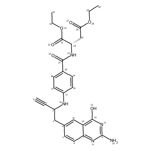 C#CC(Cc1ccc2nc(N)nc(O)c2c1)Nc1ccc(C(=O)N[C@@H](CC(=O)OCC)C(=O)OCC)cc1